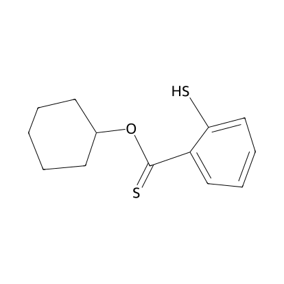 S=C(OC1CCCCC1)c1ccccc1S